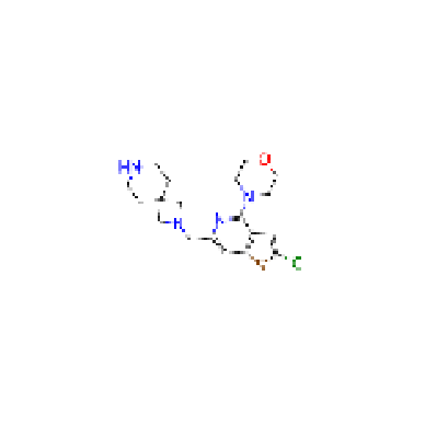 Clc1cc2c(N3CCOCC3)nc(CN3CC4(CCNCC4)C3)cc2s1